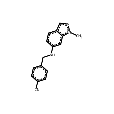 Cn1ncc2ccc(NCc3ccc(C#N)cc3)cc21